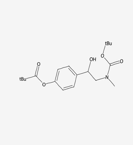 CN(CC(O)c1ccc(OC(=O)C(C)(C)C)cc1)C(=O)OC(C)(C)C